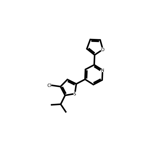 CC(C)c1sc(-c2ccnc(-c3ccco3)c2)cc1Cl